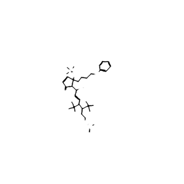 C[SiH](C)OCCC(C(C=CC(O)C1C(=O)C=CC1(CCCCOc1ccccc1)O[Si](C)(C)C)C(C)(C)C)C(C)(C)C